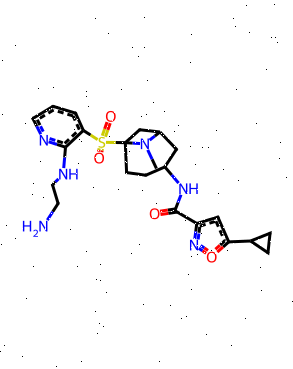 CN1C2CC(NC(=O)c3cc(C4CC4)on3)CCC1(S(=O)(=O)c1cccnc1NCCN)C2